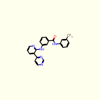 O=C(Nc1cccc(C(F)(F)F)c1)c1cccc(Nc2ncccc2-c2ccncn2)c1